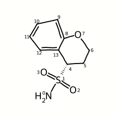 NS(=O)(=O)[C@H]1CCOc2ccccc21